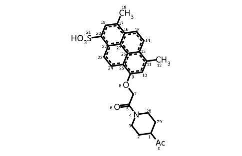 CC(=O)C1CCN(C(=O)COc2cc(C)c3ccc4c(C)cc(S(=O)(=O)O)c5ccc2c3c45)CC1